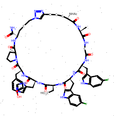 CC(=O)N[C@H]1CCCc2cn(nn2)CCC[C@@H](C(N)=O)NC(=O)[C@]2(C)CCCN2C(=O)[C@H](Cc2ccc(O)cc2)NC(=O)[C@H](Cc2cnc[nH]2)NC(=O)[C@H](CC(=O)O)NC(=O)[C@H](Cc2c[nH]c3ccc(F)cc23)NC(=O)[C@H](Cc2c[nH]c3ccc(F)cc23)NC(=O)CNC(=O)[C@H](C)NC1=O